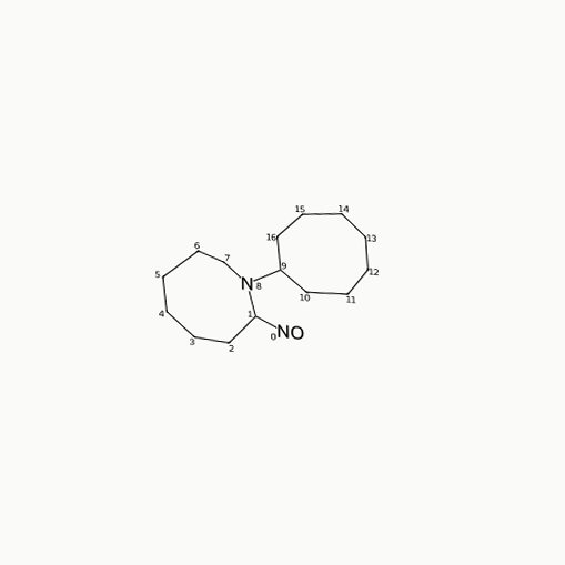 O=NC1CCCCCCN1C1CCCCCCC1